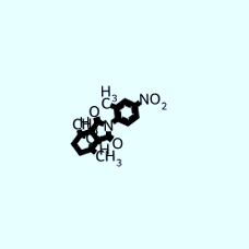 Cc1cc([N+](=O)[O-])ccc1N1C(=O)[C@@H]2[C@H](C1=O)C1(C)CCC2(C)O1